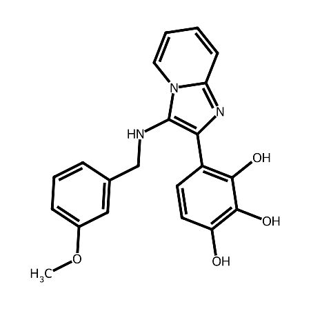 COc1cccc(CNc2c(-c3ccc(O)c(O)c3O)nc3ccccn23)c1